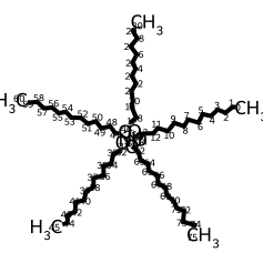 CCCCCCCCCCCCCC[O][Nb]([O]CCCCCCCCCCCCCC)([O]CCCCCCCCCCCCCC)([O]CCCCCCCCCCCCCC)[O]CCCCCCCCCCCCCC